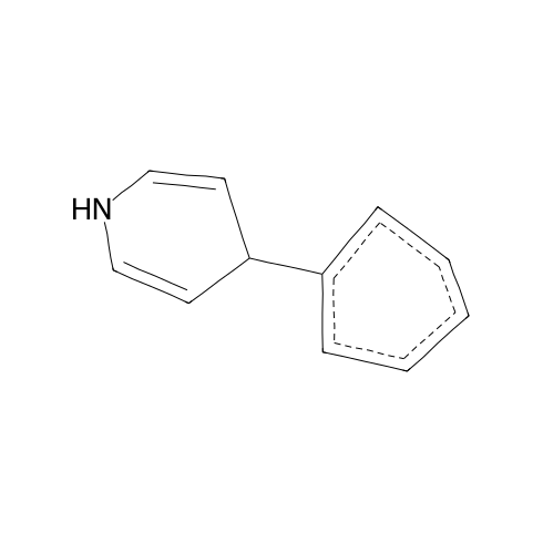 C1=CC(c2ccccc2)C=CN1